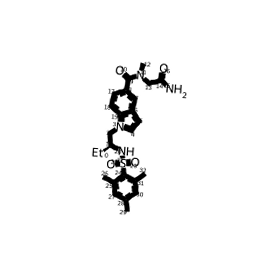 CC[C@@H](Cn1ccc2cc(C(=O)N(C)CC(N)=O)ccc21)NS(=O)(=O)c1c(C)cc(C)cc1C